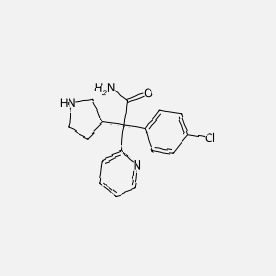 NC(=O)C(c1ccc(Cl)cc1)(c1ccccn1)C1CCNC1